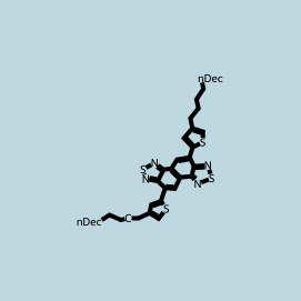 CCCCCCCCCCCCCCc1csc(-c2cc3c(cc(-c4cc(CCCCCCCCCCCCCC)cs4)c4nsnc43)c3nsnc23)c1